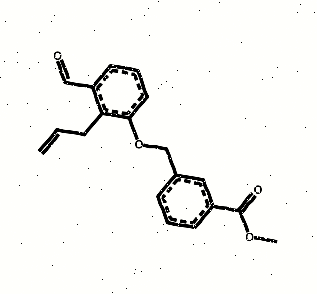 C=CCc1c(C=O)cccc1OCc1cccc(C(=O)OC)c1